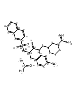 N=C(N)N1CCCC(CNC(=O)[C@@H](Cc2ccc([N+](=O)[O-])cc2)NS(=O)(=O)c2ccc3ccccc3c2)C1.O=S(O)O